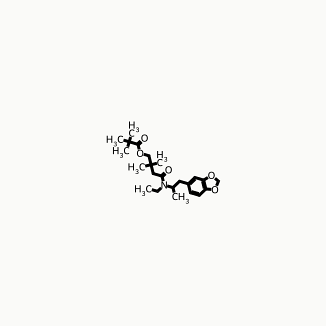 CCN(C(=O)CC(C)(C)COC(=O)C(C)(C)C)C(C)Cc1ccc2c(c1)OCO2